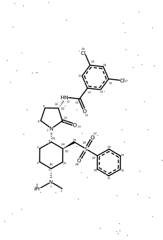 CC(C)N(C)[C@@H]1CC[C@H](N2CC[C@H](NC(=O)c3cc(Cl)cc(Cl)c3)C2=O)[C@@H](CS(=O)(=O)c2ccccc2)C1